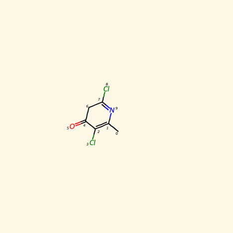 CC1=C(Cl)C(=O)CC(Cl)=N1